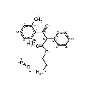 CCCOC(=O)C(C(=O)c1c(C)cccc1C)c1ccccc1.O=P